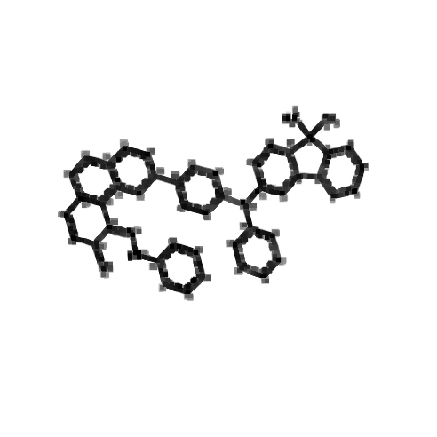 CC1(C)c2ccccc2-c2cc(N(c3ccccc3)c3ccc(-c4ccc5ccc6c(c5c4)/C(=N/Nc4ccccc4)C(=N)C=C6)cc3)ccc21